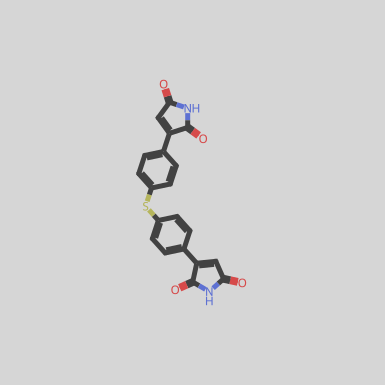 O=C1C=C(c2ccc(Sc3ccc(C4=CC(=O)NC4=O)cc3)cc2)C(=O)N1